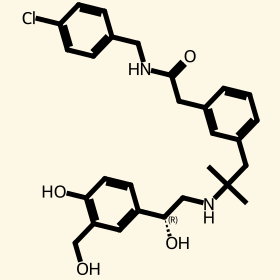 CC(C)(Cc1cccc(CC(=O)NCc2ccc(Cl)cc2)c1)NC[C@H](O)c1ccc(O)c(CO)c1